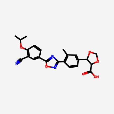 Cc1cc(C2OCOC2C(=O)O)ccc1-c1noc(-c2ccc(OC(C)C)c(C#N)c2)n1